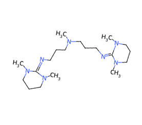 CN(CCCN=C1N(C)CCCN1C)CCCN=C1N(C)CCCN1C